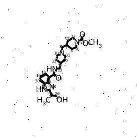 COC(=O)N1CCC(CN2CCC(CNC(=O)c3cccc4[nH]c(C(C)CO)nc34)CC2)CC1